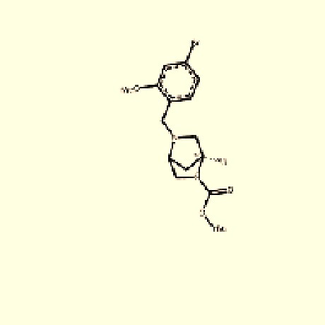 COc1cc(Br)ccc1CN1C[C@@H]2CC1CN2C(=O)OC(C)(C)C